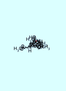 COC(=O)CCCCNC(=O)C[C@H]1O[C@H](c2cccc(OC)c2OC)c2cc(Cl)ccc2N(CC(C)(C)CO)C1=O